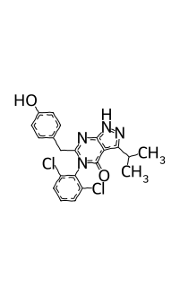 CC(C)c1n[nH]c2nc(Cc3ccc(O)cc3)n(-c3c(Cl)cccc3Cl)c(=O)c12